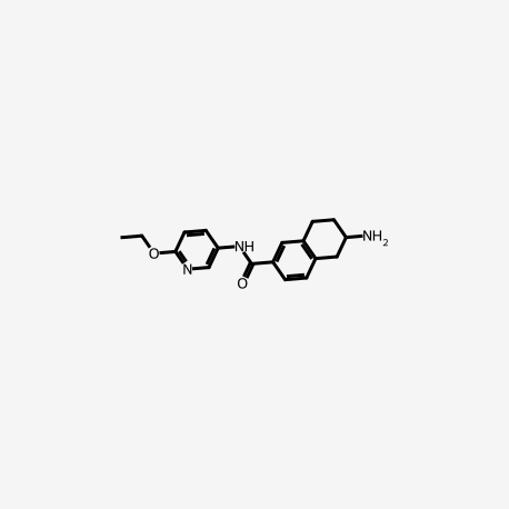 CCOc1ccc(NC(=O)c2ccc3c(c2)CCC(N)C3)cn1